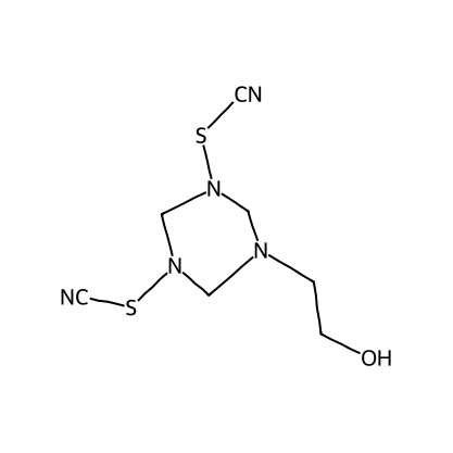 N#CSN1CN(CCO)CN(SC#N)C1